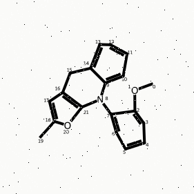 COc1ccccc1N1c2ccccc2Cc2cc(C)oc21